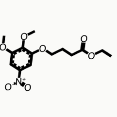 CCOC(=O)CCCOc1cc([N+](=O)[O-])cc(OC)c1OC